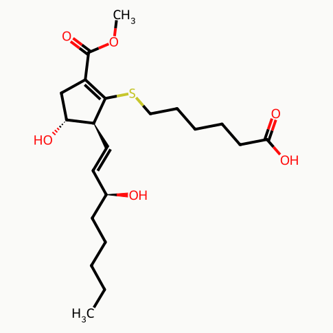 CCCCC[C@H](O)/C=C/[C@@H]1C(SCCCCCC(=O)O)=C(C(=O)OC)C[C@H]1O